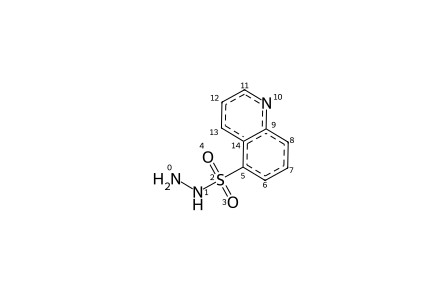 NNS(=O)(=O)c1cccc2ncccc12